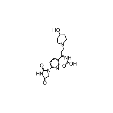 O=C(O)N[C@H](CCN1CCC(O)CC1)c1ccc(N2CC(=O)NC2=O)nc1